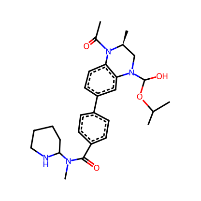 CC(=O)N1c2ccc(-c3ccc(C(=O)N(C)C4CCCCN4)cc3)cc2N(C(O)OC(C)C)C[C@@H]1C